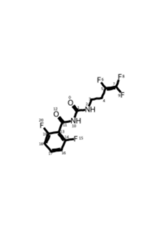 O=C(NCCC(F)=C(F)F)NC(=O)c1c(F)cccc1F